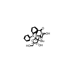 Cc1cn([C@]2([SiH](c3ccccc3)c3ccccc3)O[C@H](CO)[C@@H](O)[C@]2(OCCO)C(C)(C)C)c(=O)[nH]c1=O